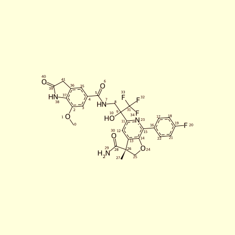 COc1cc(C(=O)NCC(O)(c2cc3c(c(-c4ccc(F)cc4)n2)OC[C@]3(C)C(N)=O)C(F)(F)F)cc2c1NC(=O)C2